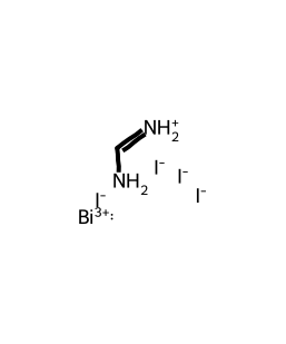 NC=[NH2+].[Bi+3].[I-].[I-].[I-].[I-]